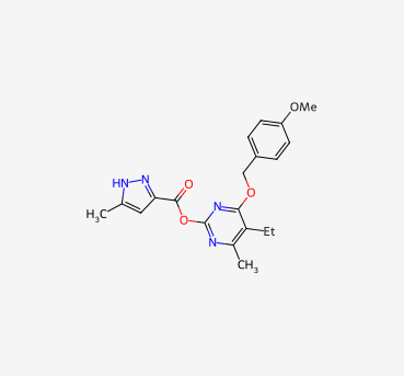 CCc1c(C)nc(OC(=O)c2cc(C)[nH]n2)nc1OCc1ccc(OC)cc1